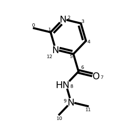 Cc1nccc(C(=O)NN(C)C)n1